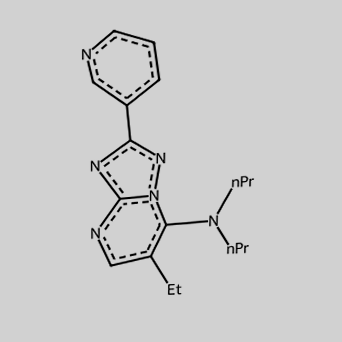 CCCN(CCC)c1c(CC)cnc2nc(-c3cccnc3)nn12